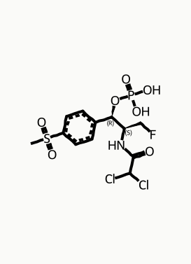 CS(=O)(=O)c1ccc([C@@H](OP(=O)(O)O)[C@@H](CF)NC(=O)C(Cl)Cl)cc1